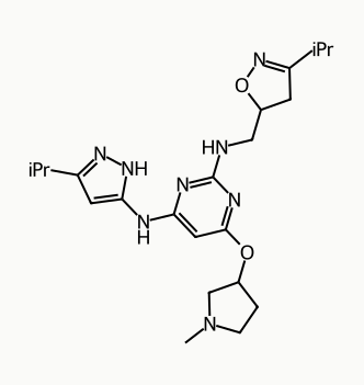 CC(C)C1=NOC(CNc2nc(Nc3cc(C(C)C)n[nH]3)cc(OC3CCN(C)C3)n2)C1